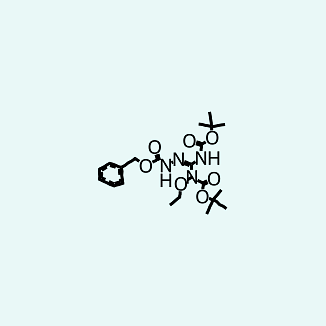 CCON(C(=O)OC(C)(C)C)C(=NNC(=O)OCc1ccccc1)NC(=O)OC(C)(C)C